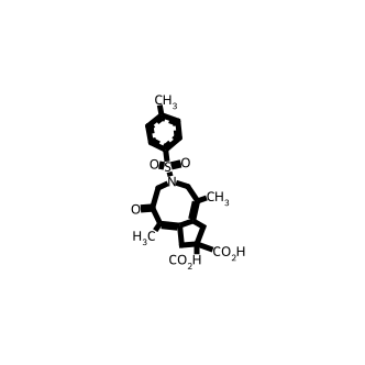 CC1=C2CC(C(=O)O)(C(=O)O)CC2=C(C)C(=O)CN(S(=O)(=O)c2ccc(C)cc2)C1